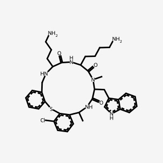 CC1NC(=O)C(Cc2c[nH]c3ccccc23)N(C)C(=O)C(CCCCN)NC(=O)C(CCCN)NCc2ccccc2Sc2c(Cl)cccc21